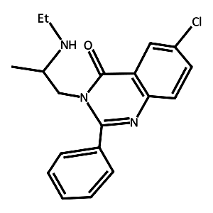 CCNC(C)Cn1c(-c2ccccc2)nc2ccc(Cl)cc2c1=O